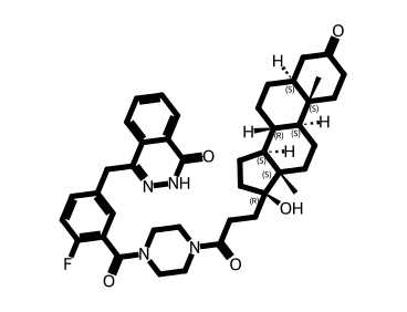 C[C@]12CCC(=O)C[C@@H]1CC[C@@H]1[C@@H]2CC[C@@]2(C)[C@H]1CC[C@@]2(O)CCC(=O)N1CCN(C(=O)c2cc(Cc3n[nH]c(=O)c4ccccc34)ccc2F)CC1